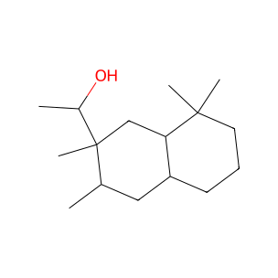 CC(O)C1(C)CC2C(CCCC2(C)C)CC1C